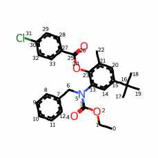 CCOC(=O)N(Cc1ccccc1)c1cc(C(C)(C)C)cc(C)c1OC(=O)c1ccc(Cl)cc1